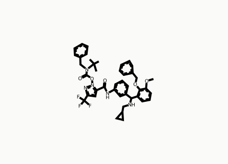 COc1cccc(C(NCC2CC2)c2cccc(NC(=O)c3cc(C(F)(F)F)nn3OC(=O)N(Cc3ccccc3)C(C)(C)C)c2)c1OCc1ccccc1